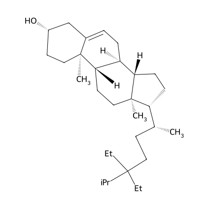 CCC(CC)(CC[C@@H](C)[C@H]1CC[C@H]2[C@@H]3CC=C4C[C@@H](O)CC[C@]4(C)[C@H]3CC[C@]12C)C(C)C